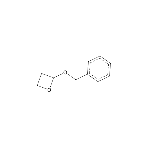 c1ccc(COC2CCO2)cc1